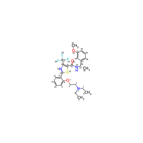 CCN(CC)CCOc1ccccc1-c1nc(C(F)(F)F)c(C(=O)N[C@@H](C)c2cccc(OC)c2)s1